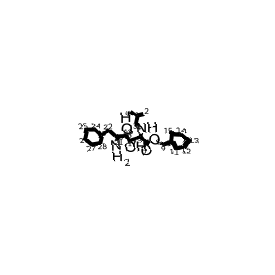 CC(C)CNC(C(=O)OCc1ccccc1)C(O)C(O)C(N)CC1CCCCC1